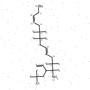 C=CC(CC(C)(C)CC)C(C)(N)C(C)(C)C/C=C/CC(C)(C)C(C)(C)C/C=C\CC(C)(C)C